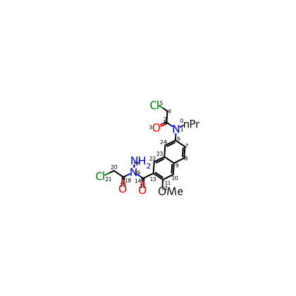 CCCN(C(=O)CCl)c1ccc2cc(OC)c(C(=O)N(N)C(=O)CCl)cc2c1